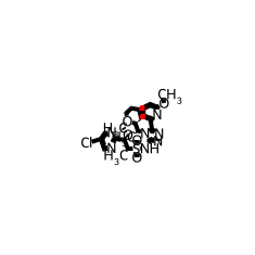 COc1cccc(-c2nnc(NS(=O)(=O)[C@@H](C)[C@H](OC)c3ncc(Cl)cn3)n2[C@H](C)[C@H]2CCCCO2)n1